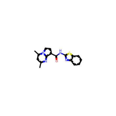 Cc1cc(C)n2ccc(C(=O)Nc3nc4ccccc4s3)c2n1